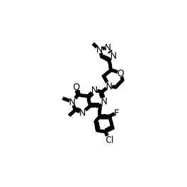 Cc1nc2c(-c3ccc(Cl)cc3F)nc(N3CCOC(c4cn(C)nn4)C3)nc2c(=O)n1C